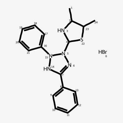 Br.CC1NC(N2N=C(c3ccccc3)NN2c2ccccc2)SC1C